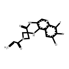 C=CC(=O)N1CC2(C1)Nc1c(cnc3c(F)c(Br)c(Cl)cc13)NC2=O